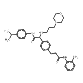 CC(C)c1ccc(NC(=O)C(NCCCN2CCOCC2)c2ccc(/C=C/C(=O)Nc3ccccc3N)cc2)cc1